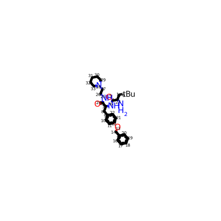 CC(C)(C)CC(N)C(=O)NC(Cc1ccc(OCc2ccccc2)cc1)C(=O)NCCN1CCCCC1